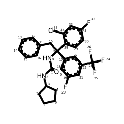 O=C(NC1CCCC1)NC(Cc1ccccc1)(c1cc(F)cc(C(F)(F)F)c1)c1ccc(F)cc1Cl